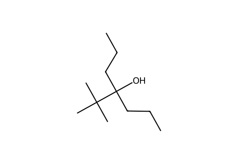 CCCC(O)(CCC)C(C)(C)C